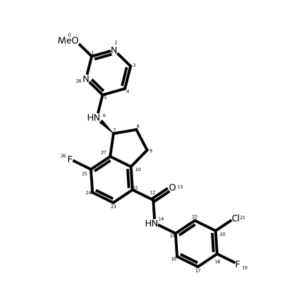 COc1nccc(N[C@H]2CCc3c(C(=O)Nc4ccc(F)c(Cl)c4)ccc(F)c32)n1